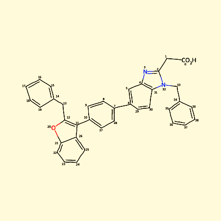 O=C(O)Cc1nc2cc(-c3ccc(-c4c(Cc5ccccc5)oc5ccccc45)cc3)ccc2n1Cc1ccccc1